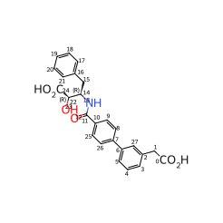 O=C(O)Cc1cccc(-c2ccc(C(=O)N[C@H](Cc3ccccc3)[C@@H](O)C(=O)O)cc2)c1